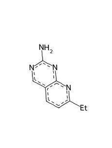 CCc1ccc2cnc(N)nc2n1